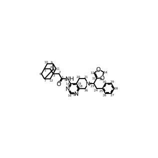 O=C(CC12CC3CC(CC(C3)C1)C2)Nc1ncnc2c1CCN(C(Cc1ccccc1)C1=COCO1)C2